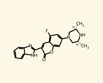 C[C@@H]1CN(c2cc(F)c3cc(-c4nc5ccccc5[nH]4)c(=O)oc3c2)C[C@H](C)N1